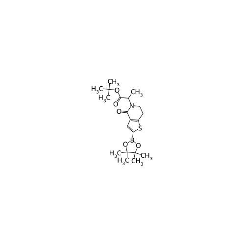 CC(C(=O)OC(C)(C)C)N1CCc2sc(B3OC(C)(C)C(C)(C)O3)cc2C1=O